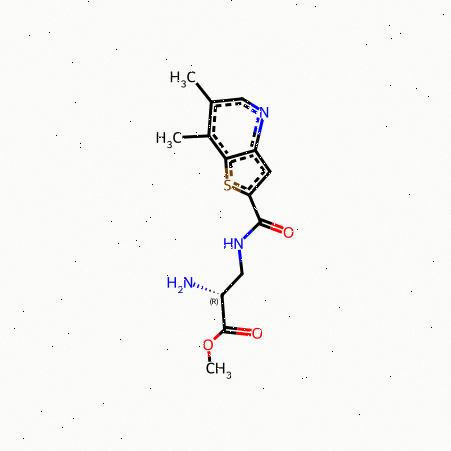 COC(=O)[C@H](N)CNC(=O)c1cc2ncc(C)c(C)c2s1